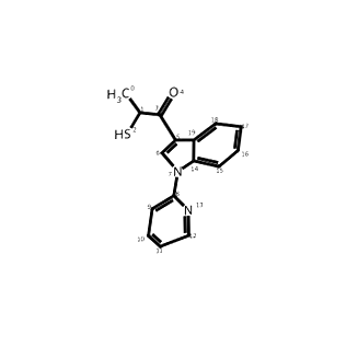 CC(S)C(=O)c1cn(-c2ccccn2)c2ccccc12